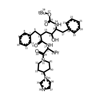 CC(C)C(NC(=O)C(Cc1ccccc1)CC(O)C(Cc1ccccc1)NC(=O)OC(C)(C)C)C(=O)N1CCC(n2ccnc2)CC1